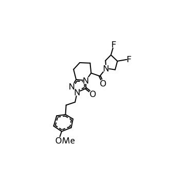 COc1ccc(CCn2nc3n(c2=O)C(C(=O)N2CC(F)C(F)C2)CCC3)cc1